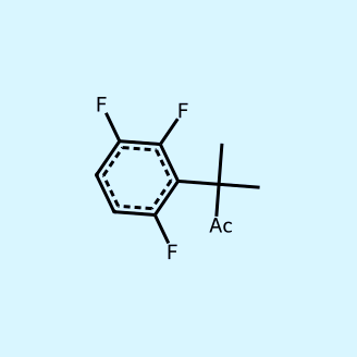 CC(=O)C(C)(C)c1c(F)ccc(F)c1F